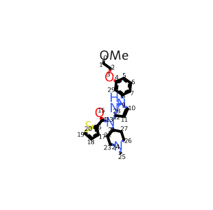 COCCOc1cccc(N2C=CC(N(C(=O)c3cccs3)C3CCN(C)CC3)N2)c1